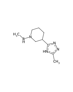 CBN1CCCC(c2nnc(C)[nH]2)C1